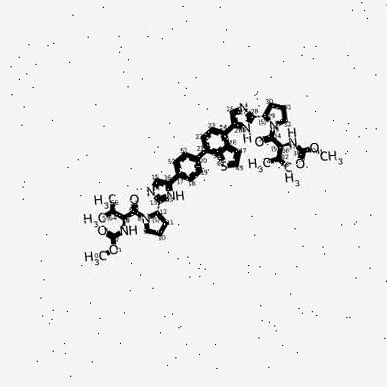 COC(=O)N[C@H](C(=O)N1CCC[C@H]1c1ncc(-c2ccc(-c3ccc(-c4cnc([C@@H]5CCCN5C(=O)[C@@H](NC(=O)OC)C(C)C)[nH]4)c4ccsc34)cc2)[nH]1)C(C)C